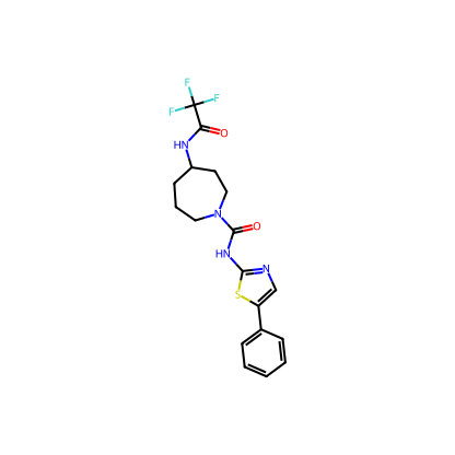 O=C(Nc1ncc(-c2ccccc2)s1)N1CCCC(NC(=O)C(F)(F)F)CC1